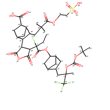 CCC(F)(C(=O)OC1CC2CC1CC2CC(C)(OC(=O)OC(C)(C)C)C(F)(F)F)C1C(=O)OC(=O)C1C1C2CC(C(=O)O)C(C2)C1CC(C)(C)C(=O)OCCS(=O)(=O)O